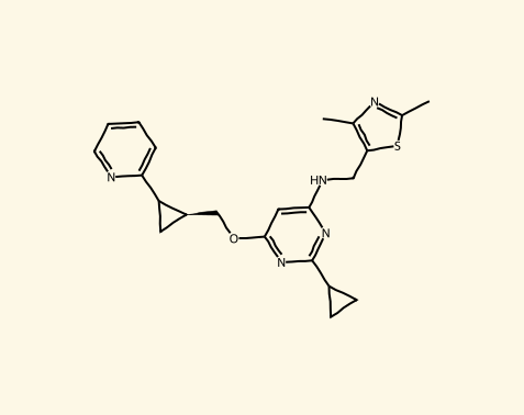 Cc1nc(C)c(CNc2cc(OC[C@H]3CC3c3ccccn3)nc(C3CC3)n2)s1